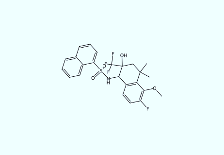 COc1c(F)ccc2c1C(C)(C)CC(O)(C(F)(F)F)C2NS(=O)(=O)c1cccc2ccccc12